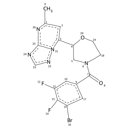 Cc1cc(C2CN(C(=O)c3cc(F)c(F)c(Br)c3)CCO2)n2ncnc2n1